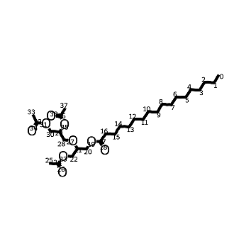 CCCCCCCCCCCCCCCCCC(=O)OCC(COC(C)=O)OCC(COC(C)=O)OC(C)=O